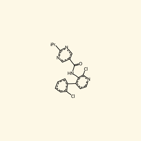 CC(C)c1ncc(C(=O)Nc2c(-c3ccccc3Cl)ccnc2Cl)cn1